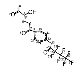 CC(=O)[C@@H](O)CCC(=O)c1ccc(CC(=O)C(F)(F)C(F)(F)C(F)(F)F)nc1